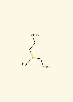 CCCCCCCC[SH](C)CCCCCCC